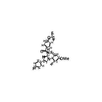 COc1cc(F)c(-n2cc(-c3ccc(F)cc3)nc2NC(=O)c2ccc(OC(F)F)cc2)c(F)c1